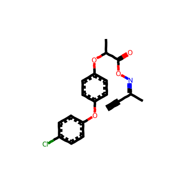 C#CC(C)=NOC(=O)C(C)Oc1ccc(Oc2ccc(Cl)cc2)cc1